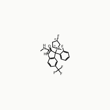 CNC(=O)[C@@H]1C[C@@H](F)C[N+]1(C)C1(c2ccccc2F)C(=O)Nc2ccc(C(F)(F)F)cc21